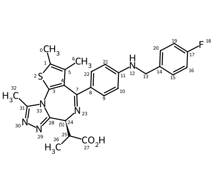 Cc1sc2c(c1C)C(c1ccc(NCc3ccc(F)cc3)cc1)=N[C@@H](C(C)C(=O)O)c1nnc(C)n1-2